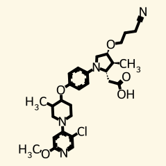 COc1cc(N2CCC(Oc3ccc(N4C[C@H](OCCCC#N)[C@@H](C)[C@@H]4CC(=O)O)cc3)C(C)C2)c(Cl)cn1